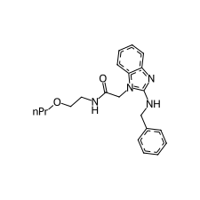 CCCOCCNC(=O)Cn1c(NCc2ccccc2)nc2ccccc21